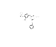 CCOP(=O)(OCC)Oc1ccc(C[C@H](NC(=O)OCc2ccccc2)C(=O)OC)cc1C(F)F